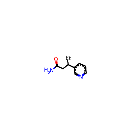 CCC(CC(N)=O)c1cccnc1